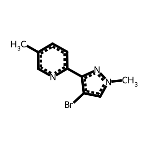 Cc1ccc(-c2nn(C)cc2Br)nc1